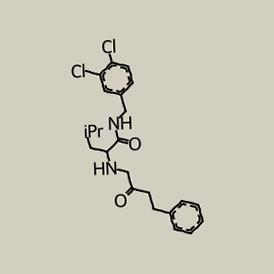 CC(C)CC(NCC(=O)CCc1ccccc1)C(=O)NCc1ccc(Cl)c(Cl)c1